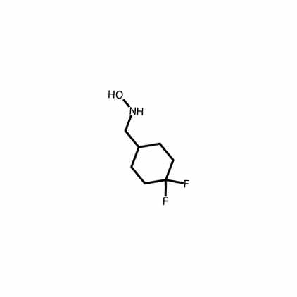 ONCC1CCC(F)(F)CC1